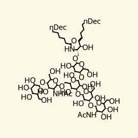 CCCCCCCCCCCCC/C=C/[C@@H](O)[C@H](CO[C@@H]1OC(CO)[C@@H](O[C@@H]2OC(CO[C@@H]3OC(CO)[C@@H](O[C@@H]4OC(CO)[C@H](O)[C@H](O)C4O)[C@H](O)C3NC(C)=O)[C@H](O)[C@H](O[C@H]3OC(CO)[C@H](O)[C@H](O[C@@H]4OC(CO)[C@H](O)[C@H](O)C4NC(C)=O)C3O)C2O)[C@H](O)C1O)NC(=O)CCCCCCCCCCCCCCC